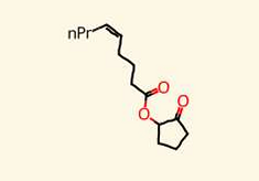 CCC/C=C\CCCC(=O)OC1CCCC1=O